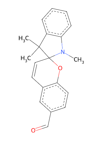 CN1c2ccccc2C(C)(C)C12C=Cc1cc(C=O)ccc1O2